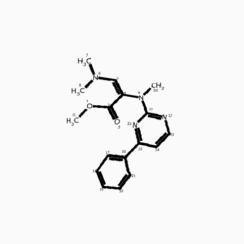 COC(=O)C(=CN(C)C)N(C)c1nccc(-c2ccccc2)n1